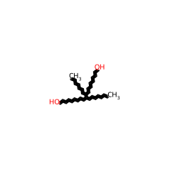 CCCCCCCCC(CCCCCCCCCO)C(CCCCCCCC)CCCCCCCCCO